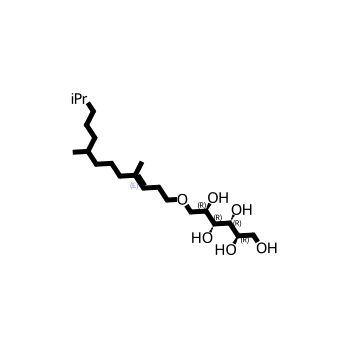 C/C(=C\CCOC[C@@H](O)[C@@H](O)[C@H](O)[C@H](O)CO)CCCC(C)CCCC(C)C